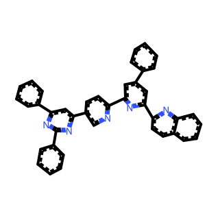 c1ccc(-c2cc(-c3ccc(-c4cc(-c5ccccc5)nc(-c5ccccc5)n4)cn3)nc(-c3ccc4ccccc4n3)c2)cc1